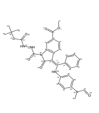 COC(=O)c1ccc2c(c1)N(C(=O)NNC(=O)OC(C)(C)C)C(=O)/C2=C(\Nc1ccc(N(C)C=O)cc1)c1ccccc1